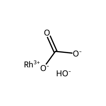 O=C([O-])[O-].[OH-].[Rh+3]